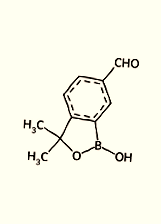 CC1(C)OB(O)c2cc(C=O)ccc21